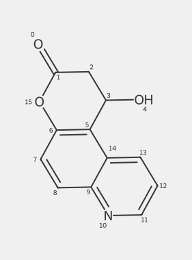 O=C1CC(O)c2c(ccc3ncccc23)O1